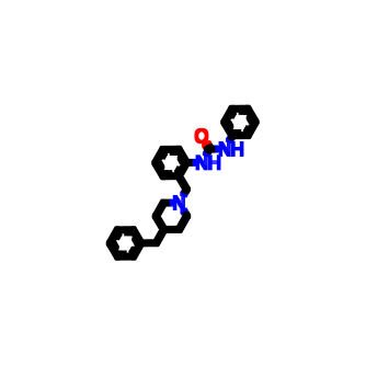 O=C(Nc1ccccc1)Nc1ccccc1CN1CCC(Cc2ccccc2)CC1